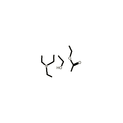 CCN(CC)CC.CCO.CCOC(C)=O